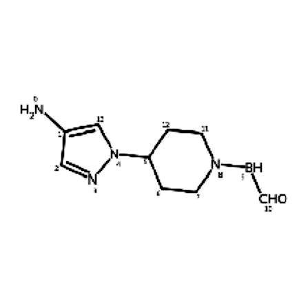 Nc1cnn(C2CCN(BC=O)CC2)c1